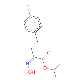 CC(C)OC(=O)/C(CCc1ccc(F)cc1)=N\O